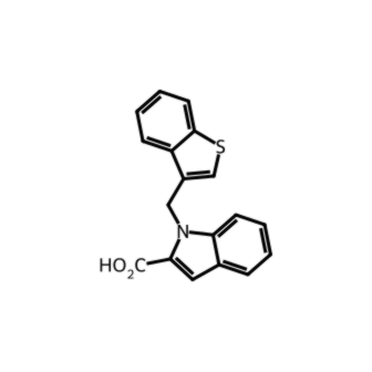 O=C(O)c1cc2ccccc2n1Cc1csc2ccccc12